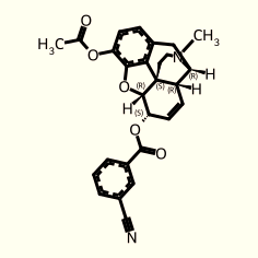 CC(=O)Oc1ccc2c3c1O[C@H]1[C@@H](OC(=O)c4cccc(C#N)c4)C=C[C@H]4[C@@H](C2)N(C)CC[C@@]341